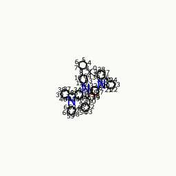 CC1(C)c2ccccc2-c2ccc(N(c3cccc(-n4c5ccccc5c5ccccc54)c3)c3cc4c5ccccc5n5c4c4c3C3(CCCC3)c3cccc(c3-4)-c3ccccc3-5)cc21